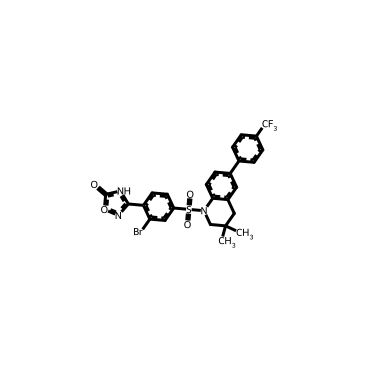 CC1(C)Cc2cc(-c3ccc(C(F)(F)F)cc3)ccc2N(S(=O)(=O)c2ccc(-c3noc(=O)[nH]3)c(Br)c2)C1